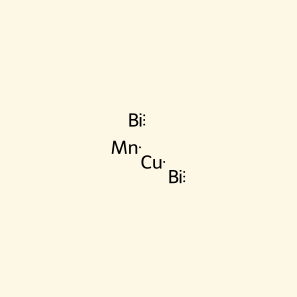 [Bi].[Bi].[Cu].[Mn]